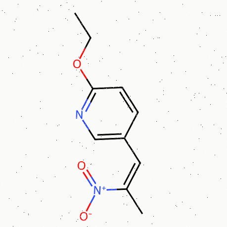 CCOc1ccc(C=C(C)[N+](=O)[O-])cn1